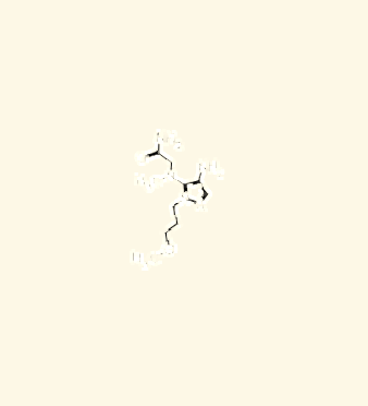 COCCCn1ncc(N)c1N(C)CC(N)=O